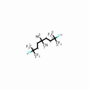 N#CC(C#N)(CCC(F)(C(F)(F)F)C(F)(F)F)CCC(F)(C(F)(F)F)C(F)(F)F